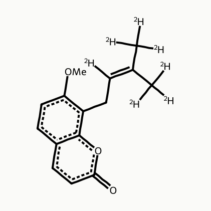 [2H]C(Cc1c(OC)ccc2ccc(=O)oc12)=C(C([2H])([2H])[2H])C([2H])([2H])[2H]